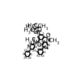 CN(C(=O)c1cc(B2OC(C)(C)C(C)(C)O2)cc(C(=O)N(C)c2ccc(-c3ccccc3)nc2)c1)c1ccc(-c2ccccc2)nc1